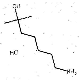 CC(C)(O)CC[CH]CCN.Cl